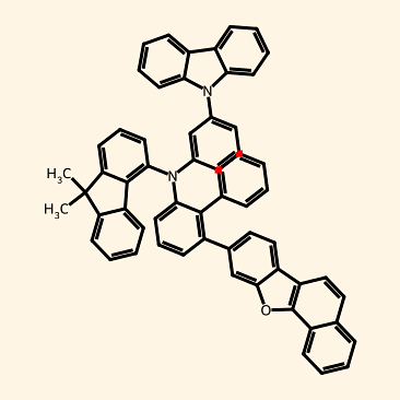 CC1(C)c2ccccc2-c2c(N(c3cccc(-n4c5ccccc5c5ccccc54)c3)c3cccc(-c4ccc5c(c4)oc4c6ccccc6ccc54)c3-c3ccccc3)cccc21